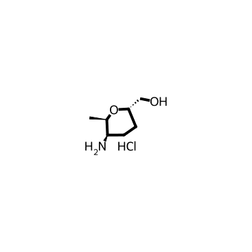 C[C@H]1O[C@H](CO)CC[C@H]1N.Cl